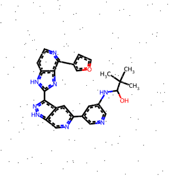 CC(C)(C)C(O)Nc1cncc(-c2cc3c(-c4nc5c(-c6ccoc6)nccc5[nH]4)n[nH]c3cn2)c1